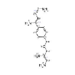 N/C=N\N=C(/N)c1ccc(COC/C(N)=C/N)cc1